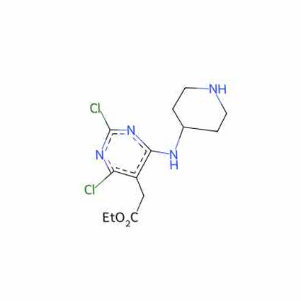 CCOC(=O)Cc1c(Cl)nc(Cl)nc1NC1CCNCC1